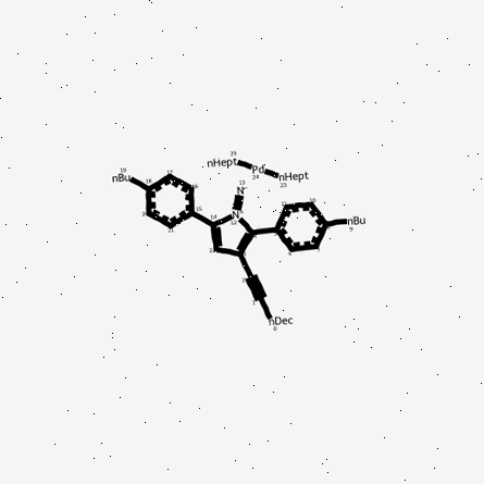 CCCCCCCCCCC#CC1=C(c2ccc(CCCC)cc2)[N+](=[N-])C(c2ccc(CCCC)cc2)=C1.CCCCCC[CH2][Pd][CH2]CCCCCC